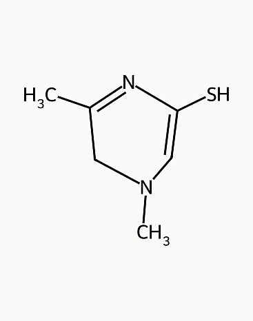 CC1=NC(S)=CN(C)C1